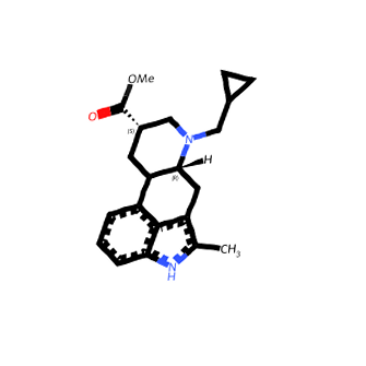 COC(=O)[C@H]1CC2c3cccc4[nH]c(C)c(c34)C[C@H]2N(CC2CC2)C1